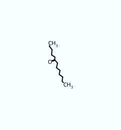 CCCCCCCC(=O)CCCCC